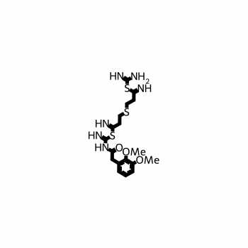 COc1cccc(CC(=O)NC(=N)SC(=N)CCSCCC(=N)SC(=N)N)c1OC